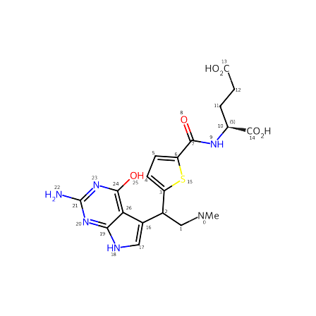 CNCC(c1ccc(C(=O)N[C@@H](CCC(=O)O)C(=O)O)s1)c1c[nH]c2nc(N)nc(O)c12